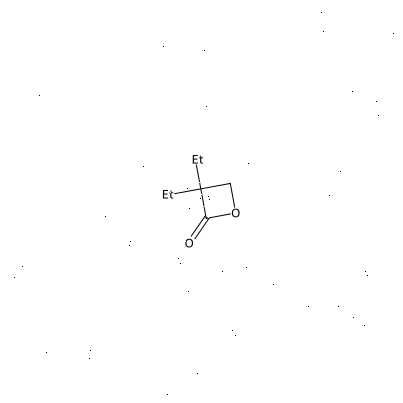 CCC1(CC)COC1=O